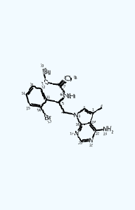 Cc1cn(CC(NC(=O)OC(C)(C)C)c2ccccc2Br)c2ncnc(N)c12